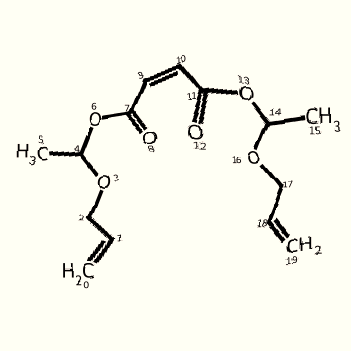 C=CCOC(C)OC(=O)/C=C\C(=O)OC(C)OCC=C